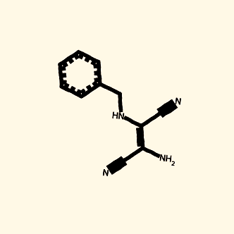 N#C/C(N)=C(/C#N)NCc1ccccc1